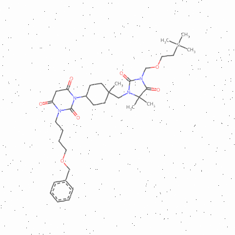 CC1(CN2C(=O)N(COCC[Si](C)(C)C)C(=O)C2(C)C)CCC(N2C(=O)CC(=O)N(CCCCOCc3ccccc3)C2=O)CC1